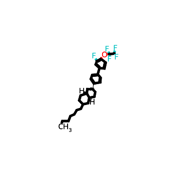 CCCCCCCC1CC[C@@H]2C[C@H](c3ccc(-c4ccc(OC(F)(F)C(F)F)c(F)c4)cc3)CC[C@@H]2C1